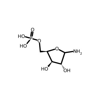 NC1O[C@H](COP(=O)(O)O)[C@H](O)[C@H]1O